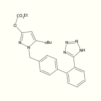 CCCCc1cc(OC(=O)OCC)nn1Cc1ccc(-c2ccccc2-c2nnn[nH]2)cc1